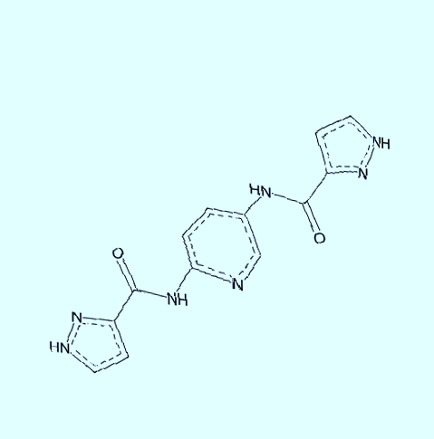 O=C(Nc1ccc(NC(=O)c2cc[nH]n2)nc1)c1cc[nH]n1